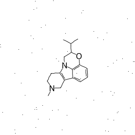 CC(C)C1Cn2c3c(c4cccc(c42)O1)CN(C)CC3